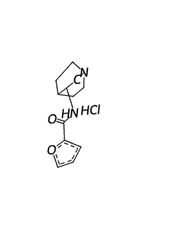 Cl.O=C(NC1CN2CCC1CC2)c1ccco1